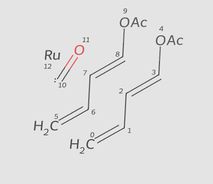 C=CC=COC(C)=O.C=CC=COC(C)=O.[C]=O.[Ru]